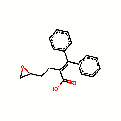 O=C(O)C(CCC1CO1)=C(c1ccccc1)c1ccccc1